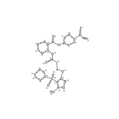 NC(=S)c1ccc(OC(=O)c2ccccc2OC(=O)CCOc2no[n+](O)c2S(=O)(=O)c2ccccc2)cc1